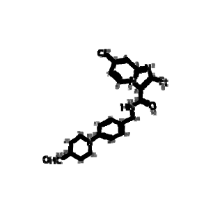 CCc1nc2cc(Cl)ccn2c1C(=O)NCc1ccc(N2CCC(C=O)CC2)cc1